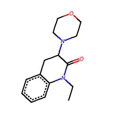 CCN1C(=O)C(N2CCOCC2)Cc2ccccc21